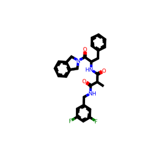 CC(C(=O)NCc1cc(F)cc(F)c1)C(=O)NC(Cc1ccccc1)C(=O)N1Cc2ccccc2C1